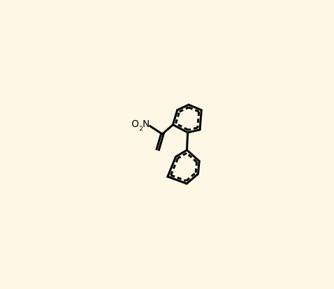 C=C(c1ccccc1-c1ccccc1)[N+](=O)[O-]